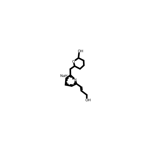 OCC=Cc1cccc(CC2CCCC(O)O2)n1.[NaH]